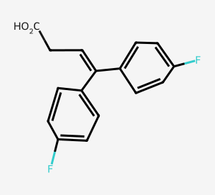 O=C(O)CC=C(c1ccc(F)cc1)c1ccc(F)cc1